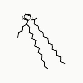 CCCCCCCCCCCCCCC(C)n1ccnc1C(CCCC)CCCCCCCCCCCCC